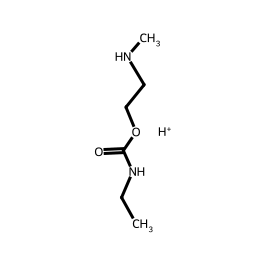 CCNC(=O)OCCNC.[H+]